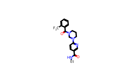 CCNC(=O)c1ccc(N2CCCN(C(=O)c3ccccc3C(F)(F)F)C2)nc1